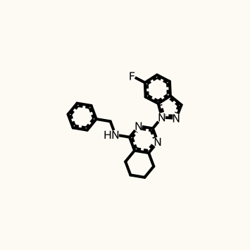 Fc1ccc2cnn(-c3nc4c(c(NCc5ccccc5)n3)CCCC4)c2c1